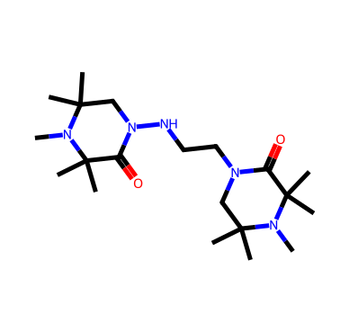 CN1C(C)(C)CN(CCNN2CC(C)(C)N(C)C(C)(C)C2=O)C(=O)C1(C)C